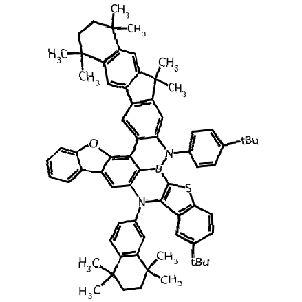 CC(C)(C)c1ccc(N2B3c4sc5ccc(C(C)(C)C)cc5c4N(c4ccc5c(c4)C(C)(C)CCC5(C)C)c4cc5c(oc6ccccc65)c(c43)-c3cc4c(cc32)C(C)(C)c2cc3c(cc2-4)C(C)(C)CCC3(C)C)cc1